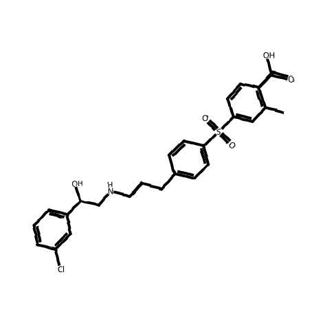 Cc1cc(S(=O)(=O)c2ccc(CCCNCC(O)c3cccc(Cl)c3)cc2)ccc1C(=O)O